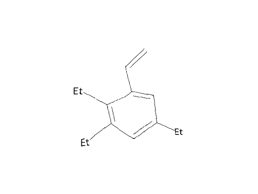 C=Cc1cc(CC)cc(CC)c1CC